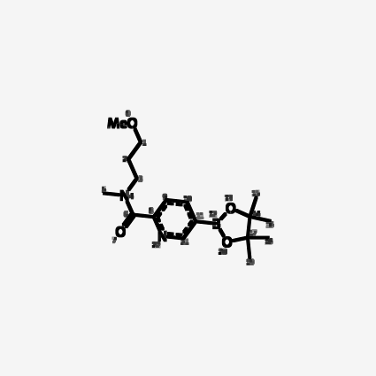 COCCCN(C)C(=O)c1ccc(B2OC(C)(C)C(C)(C)O2)cn1